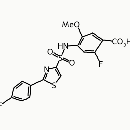 COc1cc(C(=O)O)c(F)cc1NS(=O)(=O)c1csc(-c2ccc(F)cc2)n1